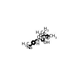 Cc1cc([C@H](C(=O)N2C[C@H](O)C[C@H]2C(=O)NCc2ccc(-c3scnc3C)cc2)C(C)C)no1